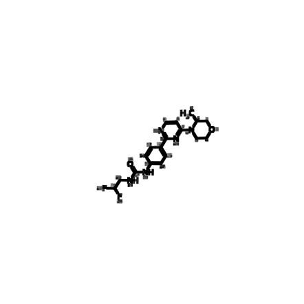 CC1COCCN1c1ccnc(-c2ccc(NC(=O)NCC(F)F)cc2)n1